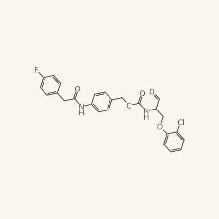 O=CC(COc1ccccc1Cl)NC(=O)OCc1ccc(NC(=O)Cc2ccc(F)cc2)cc1